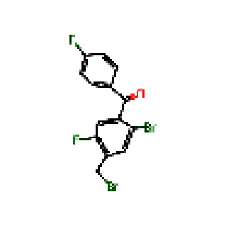 O=C(c1ccc(F)cc1)c1cc(F)c(CBr)cc1Br